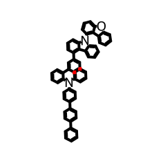 c1ccc(-c2ccc(-c3ccc(N(c4ccccc4)c4ccccc4-c4cccc(-c5cccc6c5c5ccccc5n6-c5cccc6oc7ccccc7c56)c4)cc3)cc2)cc1